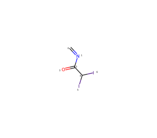 C=NC(=O)C(I)I